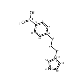 O=[N+]([O-])c1ccc(CCCn2ccnc2)cc1